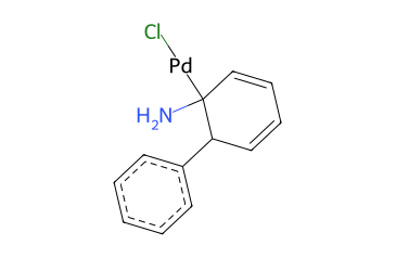 N[C]1([Pd][Cl])C=CC=CC1c1ccccc1